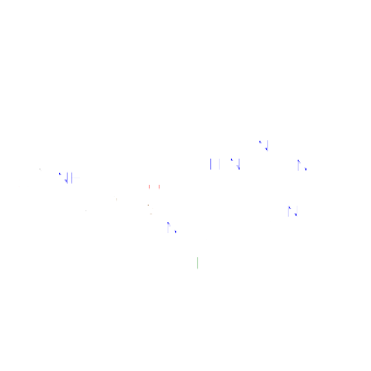 Nc1ncnc2c1c(-c1ccc(N[S+]([O-])c3ccc(CNC(=O)c4ccccc4)s3)c(F)c1)cn2C1CCCC1